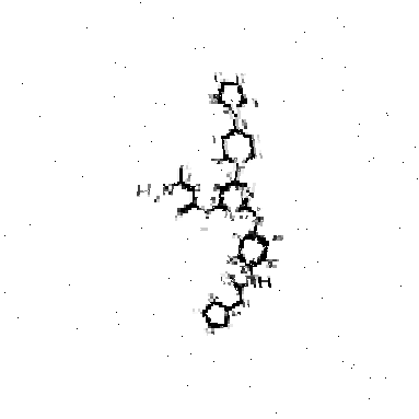 C=C(/C=C(/C)N)Nc1cc(N2CCC(N3CCCC3)CC2)nc(Sc2ccc(NC(=O)CC3CCCC3)cc2)n1